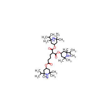 CC(C)C1(C)CC(OC(=O)CCCC(C(=O)OC2CC(C)(C)NC(C)(C(C)C)C2)C(=O)OC2CC(C)(C)NC(C)(C(C)C)C2)CC(C)(C)N1